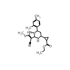 CCOC(=O)C1CC1C1CC(c2ccc(C)cc2C)N2NC(SC)=C(C#N)C2N1